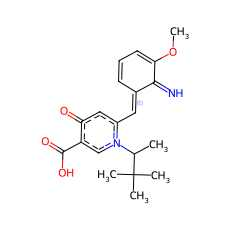 COC1=CC=C/C(=C\c2cc(=O)c(C(=O)O)cn2C(C)C(C)(C)C)C1=N